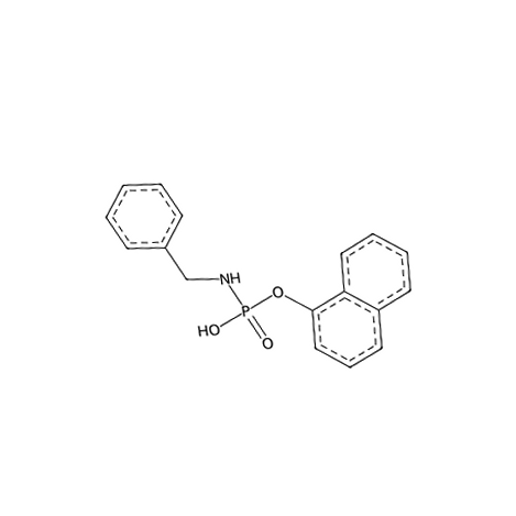 O=P(O)(NCc1ccccc1)Oc1cccc2ccccc12